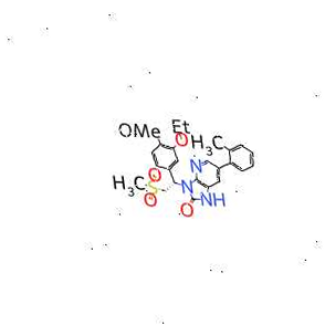 CCOc1cc([C@@H](CS(C)(=O)=O)n2c(=O)[nH]c3cc(-c4ccccc4C)cnc32)ccc1OC